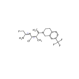 C=C(/C(C)=C(Cl)\N=C(/N)CF)N1CCc2ccc(C(F)(F)F)cc2C1